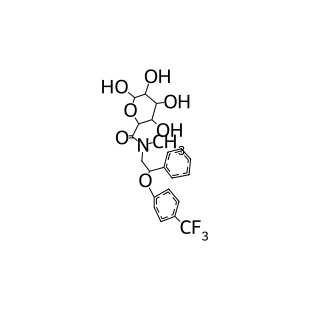 CN(CC(Oc1ccc(C(F)(F)F)cc1)c1ccccc1)C(=O)C1OC(O)C(O)C(O)C1O